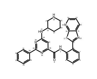 O=C(Nc1ccccc1-c1nc2cccnc2s1)c1cc(NC2CCCNC2)nc(-c2ccccc2)n1